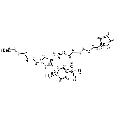 CCCCCCCCCCCCCCCC[C@@H]1CO[C@@H](COCCCCCCCC[n+]2ccsc2)C1.Cc1ccc(S(=O)(=O)[O-])cc1